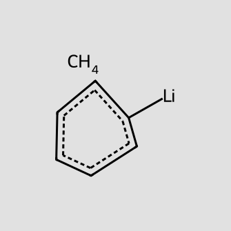 C.[Li][c]1ccccc1